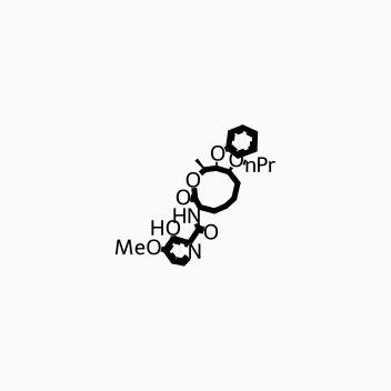 CCCO[C@H]1CCCC[C@H](NC(=O)c2nccc(OC)c2O)C(=O)O[C@@H](C)[C@@H]1Oc1ccccc1